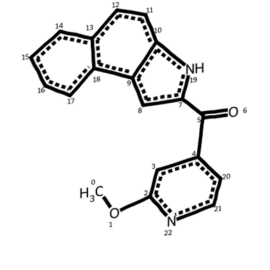 COc1cc(C(=O)c2cc3c(ccc4ccccc43)[nH]2)ccn1